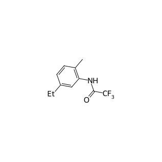 CCc1ccc(C)c(NC(=O)C(F)(F)F)c1